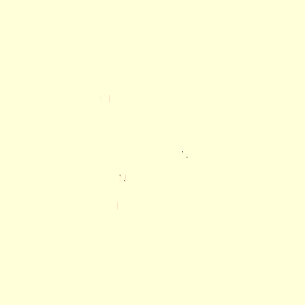 Cc1cnc(CO)c[n+]1C.[I-]